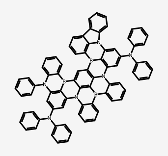 c1ccc(N(c2ccccc2)c2cc3c4c(c2)N2c5ccccc5B5c6ccccc6N6c7cc(N(c8ccccc8)c8ccccc8)cc8c7B(c7cc(c2c5c76)B4c2ccccc2N3c2ccccc2)c2cccc3c4ccccc4n-8c23)cc1